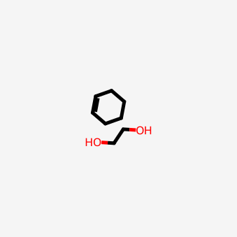 C1=CCCCC1.OCCO